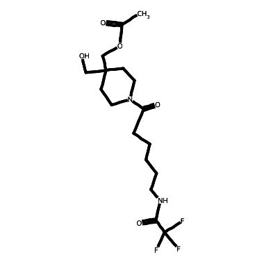 CC(=O)OCC1(CO)CCN(C(=O)CCCCCNC(=O)C(F)(F)F)CC1